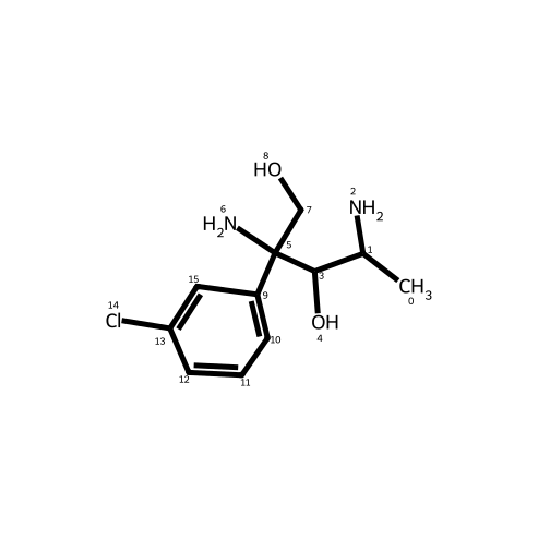 CC(N)C(O)C(N)(CO)c1cccc(Cl)c1